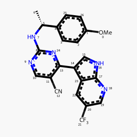 COc1ccc([C@@H](C)Nc2ncc(C#N)c(-c3c[nH]c4ncc(C(F)(F)F)cc34)n2)cc1